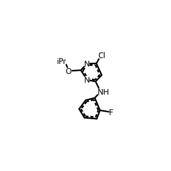 CC(C)Oc1nc(Cl)cc(Nc2ccccc2F)n1